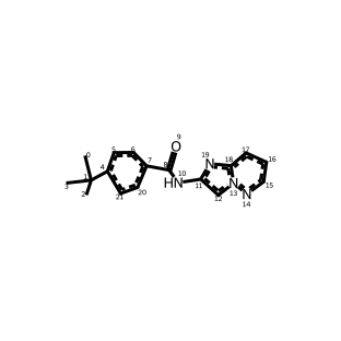 CC(C)(C)c1ccc(C(=O)Nc2cn3ncccc3n2)cc1